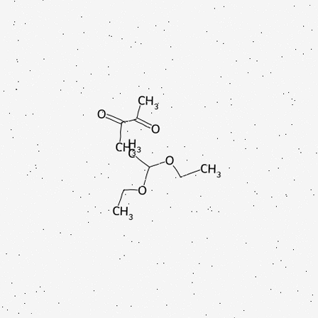 CC(=O)C(C)=O.CCOC(C)OCC